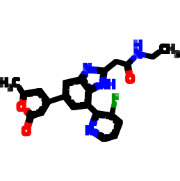 CCNC(=O)Cc1nc2cc(-c3cc(C)oc(=O)c3)cc(-c3ncccc3F)c2[nH]1